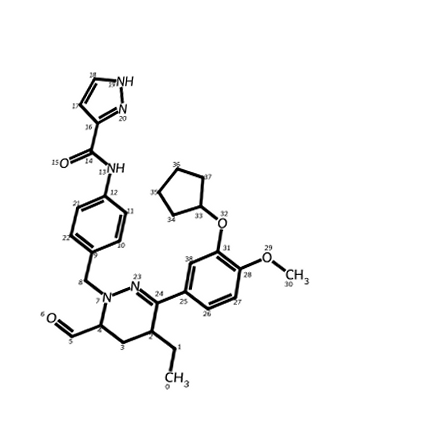 CCC1CC(C=O)N(Cc2ccc(NC(=O)c3cc[nH]n3)cc2)N=C1c1ccc(OC)c(OC2CCCC2)c1